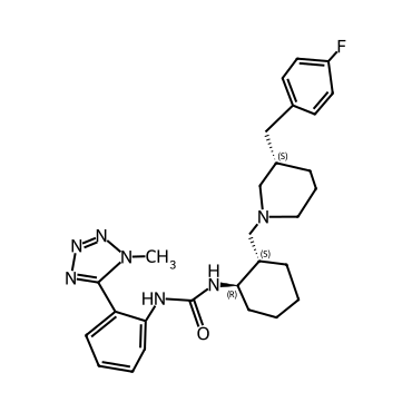 Cn1nnnc1-c1ccccc1NC(=O)N[C@@H]1CCCC[C@H]1CN1CCC[C@@H](Cc2ccc(F)cc2)C1